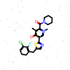 Cc1c(C(=O)N2CCCCC2)n(C)cc(-c2ncc(CC3=C(F)C(Cl)=CCC3)s2)c1=O